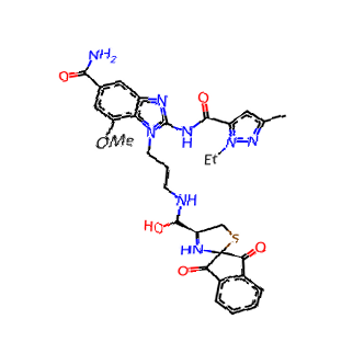 CCn1nc(C)cc1C(=O)Nc1nc2cc(C(N)=O)cc(OC)c2n1CCCNC(O)[C@H]1CSC2(N1)C(=O)c1ccccc1C2=O